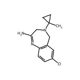 CC1(N2CC(N)=Nc3ccc(Cl)cc3C2)CC1